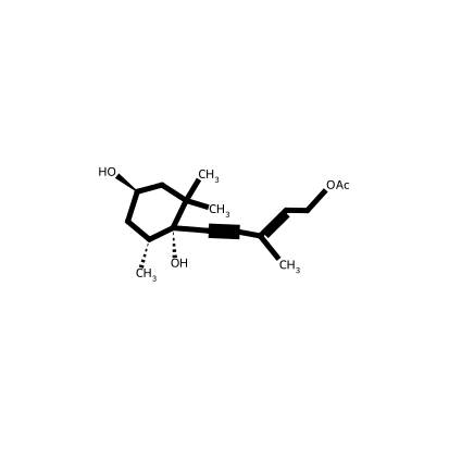 CC(=O)OCC=C(C)C#C[C@@]1(O)[C@H](C)C[C@@H](O)CC1(C)C